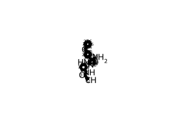 C#CC(=O)NC1CCC[C@H](Nc2ncnc(N)c2-c2ccc(Oc3ccccc3)cc2)C1